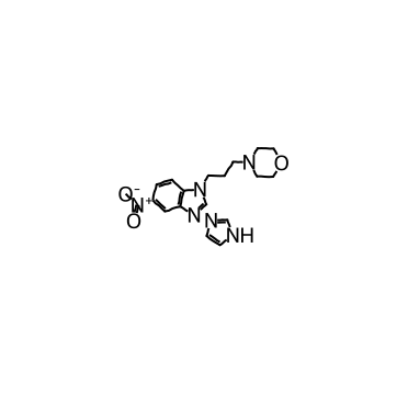 O=[N+]([O-])c1ccc2c(c1)ncn2CCCN1CCOCC1.c1c[nH]cn1